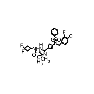 CC1(C)N=C(C23CC(N(Cc4ccc(Cl)c(F)c4)S(=O)(=O)c4ccccc4)(C2)C3)N[C@H]1C(=O)NC1CC(F)(F)C1